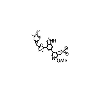 COc1ncc(-c2cc(-c3nnc(CN4C[C@@H](C)N(C(C)C)[C@@H](C)C4)o3)c3cn[nH]c3c2)cc1CN[SH](=O)=O